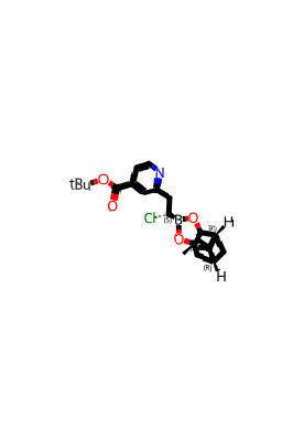 CC(C)(C)OC(=O)c1ccnc(C[C@@H](Cl)B2OC3[C@@H]4C[C@H](C[C@]3(C)O2)C4(C)C)c1